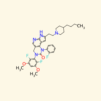 CCCCC1CCN(CCc2cc3c4c(cnc3[nH]2)CN(c2c(F)c(OC)cc(OC)c2F)C(=O)N4c2ccccc2F)CC1